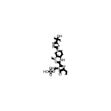 CCc1nc(C(=O)N[C@@H]2CCN(c3nnc(C(C)(C)O)s3)C[C@@H]2OC)n(COP(=O)(O)O)c1Cl